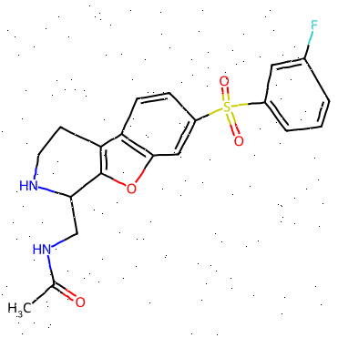 CC(=O)NCC1NCCc2c1oc1cc(S(=O)(=O)c3cccc(F)c3)ccc21